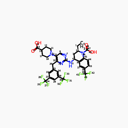 CC[C@@H]1C[C@H](Nc2ncc(N3CCC(C(=O)O)CC3)c(Cc3cc(C(F)(F)F)cc(C(F)(F)F)c3)n2)c2cc(C(F)(F)F)ccc2N1C(=O)O